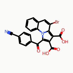 N#Cc1ccc(C(=O)c2c(C(=O)O)c(C(=O)O)c3c(Br)cc4ccccc4n23)cc1